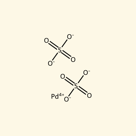 O=S(=O)([O-])[O-].O=S(=O)([O-])[O-].[Pd+4]